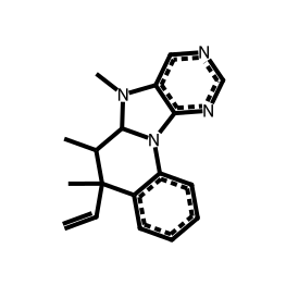 C=CC1(C)c2ccccc2N2c3ncncc3N(C)C2C1C